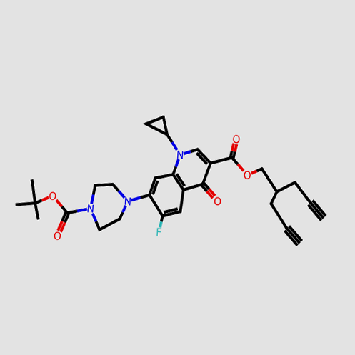 C#CCC(CC#C)COC(=O)c1cn(C2CC2)c2cc(N3CCN(C(=O)OC(C)(C)C)CC3)c(F)cc2c1=O